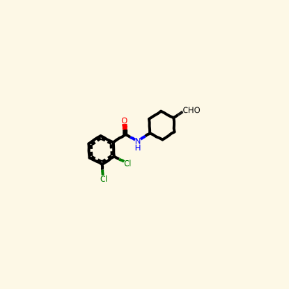 O=CC1CCC(NC(=O)c2cccc(Cl)c2Cl)CC1